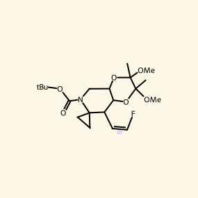 COC1(C)OC2CN(C(=O)OC(C)(C)C)C3(CC3)C(/C=C\F)C2OC1(C)OC